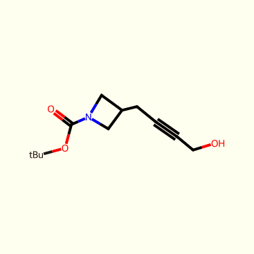 CC(C)(C)OC(=O)N1CC(CC#CCO)C1